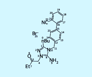 CCCCc1n[n+](CC(=O)CC)c(N)n1Cc1ccc(-c2ccccc2C#N)cc1.[Br-]